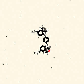 NC1=CC(C(F)(F)F)(C(F)(F)F)C(Oc2ccc(OC3C=CC(N)=CC3(C(F)(F)F)C(F)(F)F)cc2)C=C1